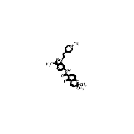 Cc1nn(CCC2CCN(C)CC2)c2cc(NC(=O)c3ccc4c(c3F)C=CC(C)(C)O4)ccc12